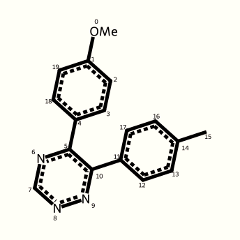 COc1ccc(-c2ncnnc2-c2ccc(C)cc2)cc1